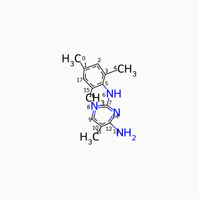 Cc1cc(C)c(Nc2ncc(C)c(N)n2)c(C)c1